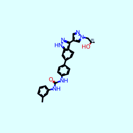 Cc1cccc(NC(=O)Nc2ccc(-c3ccc4c(-c5cnn(C[C@@H](C)O)c5)n[nH]c4c3)cc2)c1